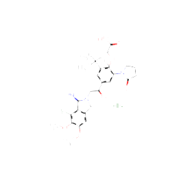 Br.COc1cc2c(c(F)c1OC)C(=N)N(CC(=O)c1cc(N3CCCC3=O)c(OCC(=O)O)c(C(C)(C)C)c1)C2